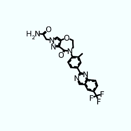 Cc1cc(-c2ncc3cc(C(F)(F)F)ccc3n2)ccc1N1CCOc2cn(CC(N)=O)nc2C1=O